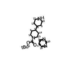 CC(C)(C)OC(=O)N1CCC(C2CCNCC2)C[C@@H]1c1ccncn1